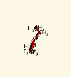 CN(CCCCC1COC(C)(C)OC1)CCOCCSSCCOCCCOc1ccc2c(c1)CC[C@@H]1[C@@H]2CC[C@]2(C)[C@@H](OCCCOC(C(F)(F)F)(C(F)(F)F)C(F)(F)F)CC[C@@H]12